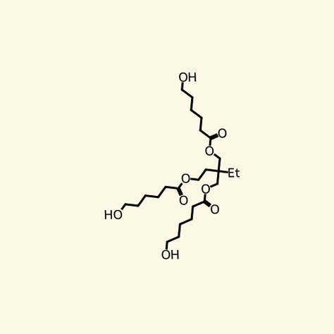 CCC(CCOC(=O)CCCCCO)(COC(=O)CCCCCO)COC(=O)CCCCCO